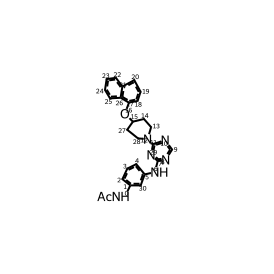 CC(=O)Nc1cccc(Nc2ncnc(N3CCC(Oc4cccc5ccccc45)CC3)n2)c1